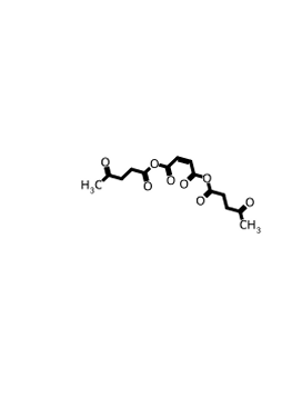 CC(=O)CCC(=O)OC(=O)/C=C\C(=O)OC(=O)CCC(C)=O